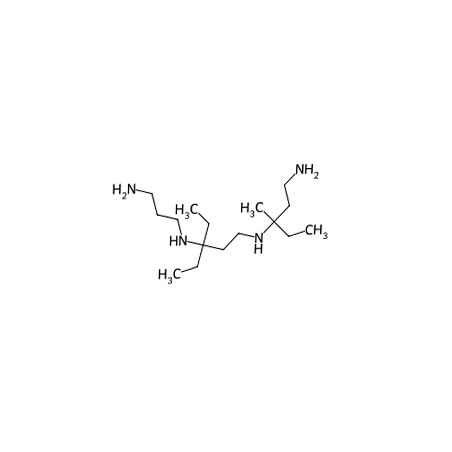 CCC(C)(CCN)NCCC(CC)(CC)NCCCN